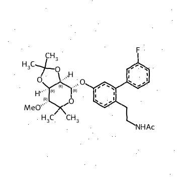 CO[C@@H]1[C@H]2OC(C)(C)O[C@H]2[C@H](Oc2ccc(CCNC(C)=O)c(-c3cccc(F)c3)c2)OC1(C)C